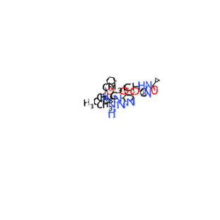 COc1c(Oc2ccnc(NC(=O)C3CC3)c2)cnc2nc(Nc3cc(C(C)(C)C)n(CC(C)OCc4ccccc4)n3)n(C)c12